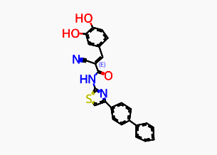 N#C/C(=C\c1ccc(O)c(O)c1)C(=O)Nc1nc(-c2ccc(-c3ccccc3)cc2)cs1